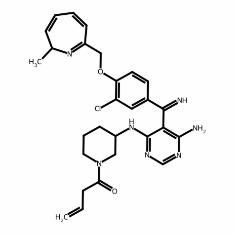 C=CCC(=O)N1CCCC(Nc2ncnc(N)c2C(=N)c2ccc(OCC3=NC(C)C=CC=C3)c(Cl)c2)C1